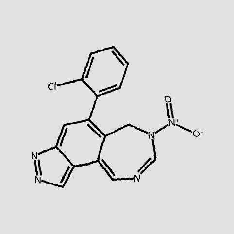 O=[N+]([O-])N1C=NC=c2c(c(-c3ccccc3Cl)cc3c2=CN=N3)C1